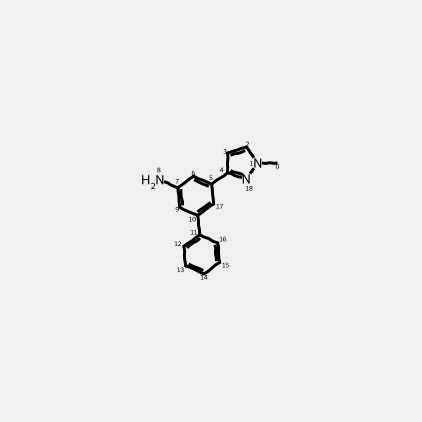 Cn1ccc(-c2cc(N)cc(-c3ccccc3)c2)n1